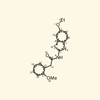 CCOc1ccc2nc(NC(=O)Cc3ccccc3OC)sc2c1